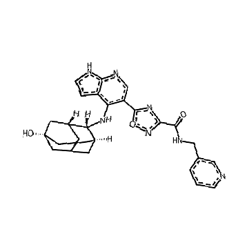 O=C(NCc1cccnc1)c1noc(-c2cnc3[nH]ccc3c2N[C@H]2[C@@H]3CC4C[C@H]2C[C@@](O)(C4)C3)n1